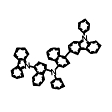 c1ccc(N(c2ccc(-c3ccc4c(c3)c3ccccc3n4-c3ccccc3)c3ccccc23)c2ccc(-n3c4ccccc4c4ccccc43)c3ccccc23)cc1